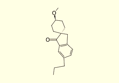 CCCc1ccc2c(c1)C(=O)[C@]1(CC[C@H](OC)CC1)C2